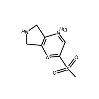 CS(=O)(=O)c1cnc2c(n1)CNC2.Cl